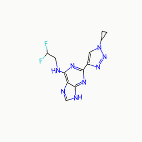 FC(F)CNc1nc(-c2cn(C3CC3)nn2)nc2[nH]cnc12